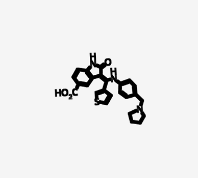 O=C1Nc2ccc(C(=O)O)cc2/C1=C(/Nc1ccc(CN2CCCC2)cc1)c1ccsc1